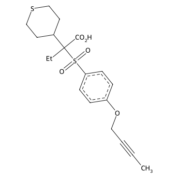 CC#CCOc1ccc(S(=O)(=O)C(CC)(C(=O)O)C2CCSCC2)cc1